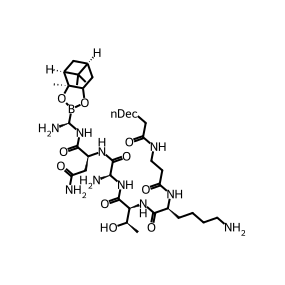 CCCCCCCCCCCC(=O)NCCC(=O)N[C@@H](CCCCN)C(=O)N[C@H](C(=O)N[C@@H](N)C(=O)N[C@@H](CC(N)=O)C(=O)N[C@@H](N)B1OC2C[C@@H]3C[C@@H](C3(C)C)[C@]2(C)O1)[C@@H](C)O